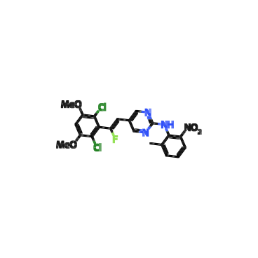 COc1cc(OC)c(Cl)c(/C(F)=C/c2cnc(Nc3c(C)cccc3[N+](=O)[O-])nc2)c1Cl